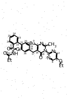 CCCCc1nc(C)n(-c2ncc(OCC)cn2)c(=O)c1Cc1ccc(-c2ccccc2S(=O)(=O)NC(=O)CC)cc1